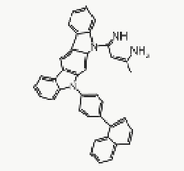 C/C(N)=C/C(=N)n1c2ccccc2c2cc3c4ccccc4n(-c4ccc(-c5cccc6ccccc56)cc4)c3cc21